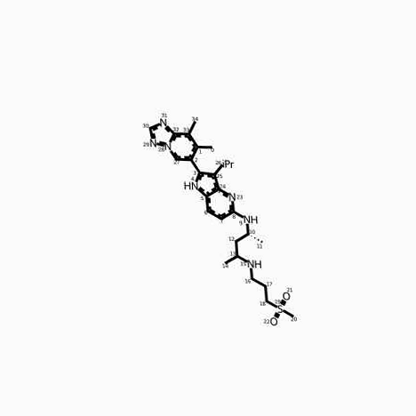 Cc1c(-c2[nH]c3ccc(N[C@H](C)CC(C)NCCCS(C)(=O)=O)nc3c2C(C)C)cn2ncnc2c1C